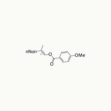 CCCCCCCCC/C(C)=C/OC(=O)c1ccc(OC)cc1